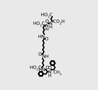 CC(Cc1ccccc1)C(=O)NC(Cc1ccccc1)C(=O)NC(CCCCNC(=O)CCCCCCC(=O)NCCCC[C@H](NC(=O)N[C@@H](CCC(=O)O)C(=O)O)C(=O)O)C(=O)O